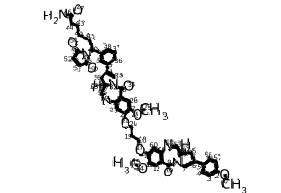 COc1ccc(C2=CN3C(=O)c4cc(OC)c(OCCCOc5cc6c(cc5OC)C(=O)N5C=C(c7cccc(C(CCCCC(N)=O)N8C(=O)C=CC8=O)c7)C[C@H]5C=N6)cc4N=C[C@@H]3C2)cc1